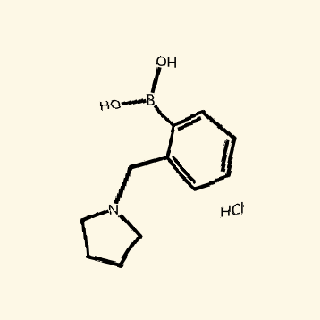 Cl.OB(O)c1ccccc1CN1CCCC1